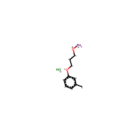 Cc1cccc(OCCCOP)c1.Cl